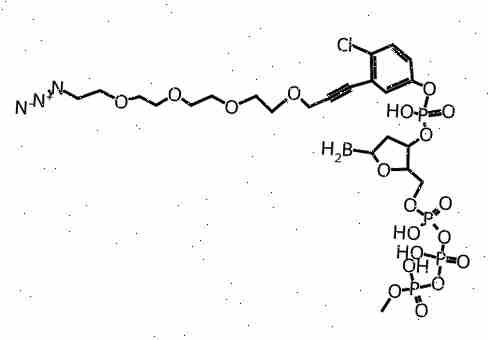 BC1CC(OP(=O)(O)Oc2ccc(Cl)c(C#CCOCCOCCOCCOCCN=[N+]=[N-])c2)C(COP(=O)(O)OP(=O)(O)OP(=O)(O)OC)O1